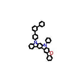 c1ccc(-c2cccc(-c3ccc(-n4c5ccccc5c5cc6c7cc8c(cc7n(-c7ccccc7)c6cc54)oc4ccccc48)cc3)c2)cc1